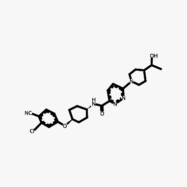 CC(O)C1CCN(c2ccc(C(=O)N[C@H]3CC[C@H](Oc4ccc(C#N)c(Cl)c4)CC3)nn2)CC1